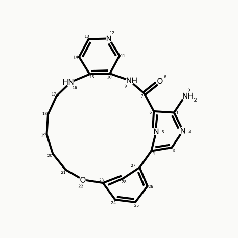 Nc1ncc2nc1C(=O)Nc1cnccc1NCCCCCOc1cccc-2c1